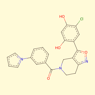 O=C(c1cccc(-n2cccc2)c1)N1CCc2noc(-c3cc(Cl)c(O)cc3O)c2C1